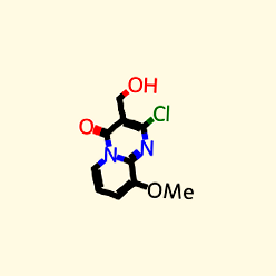 COc1cccn2c(=O)c(CO)c(Cl)nc12